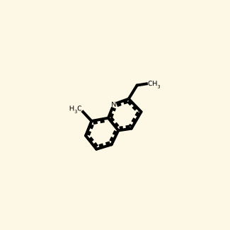 CCc1ccc2cccc(C)c2n1